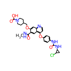 CNC(=O)c1cc2c(Oc3ccc(NC(=O)NC4CC4Cl)cc3)ccnc2cc1OCC1CCN(C(=O)O)CC1